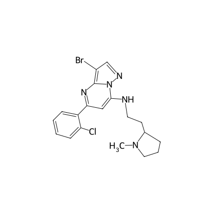 CN1CCCC1CCNc1cc(-c2ccccc2Cl)nc2c(Br)cnn12